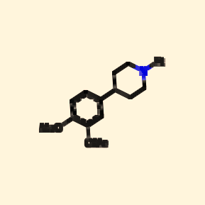 CCN1CCC(c2ccc(OC)c(OC)c2)CC1